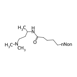 CCCCCCCCCCCCCC(=O)NC(C)CCN(C)C